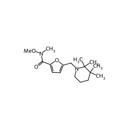 CON(C)C(=O)c1ccc(CN2CCCC(C)(C)C2(C)C)o1